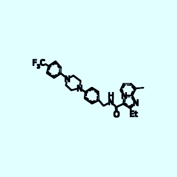 CCc1nc2c(C)cccn2c1C(=O)NCc1ccc(N2CCN(c3ccc(C(F)(F)F)cc3)CC2)cc1